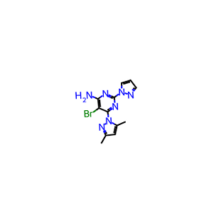 Cc1cc(C)n(-c2nc(-n3cccn3)nc(N)c2Br)n1